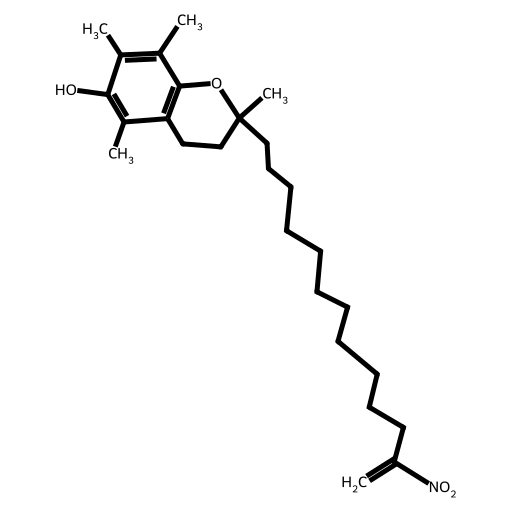 C=C(CCCCCCCCCCCC1(C)CCc2c(C)c(O)c(C)c(C)c2O1)[N+](=O)[O-]